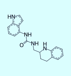 O=C(NCC1CCc2ccccc2N1)Nc1cccc2[nH]ccc12